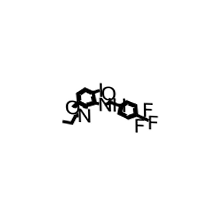 CCc1nc2c(NC(=O)c3ccc(C(F)(F)F)cc3)c(I)ccc2o1